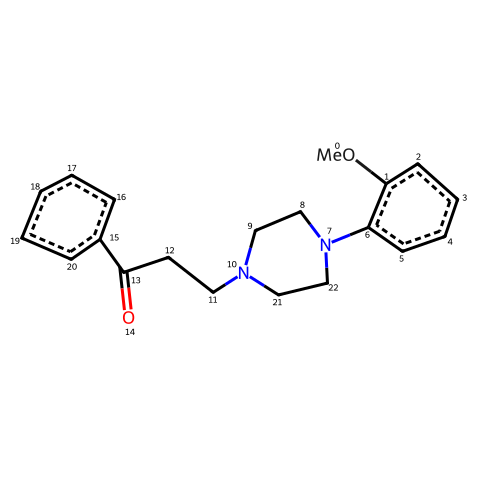 COc1ccccc1N1CCN(CCC(=O)c2ccccc2)CC1